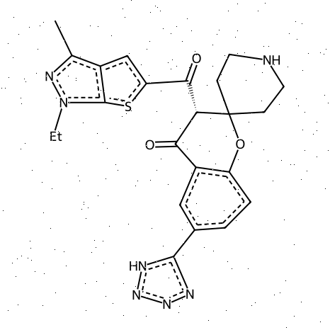 CCn1nc(C)c2cc(C(=O)[C@H]3C(=O)c4cc(-c5nnn[nH]5)ccc4OC34CCNCC4)sc21